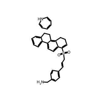 C1=CC=CNC=C1.NCc1ccc(C=CCS(=O)(=O)C2=CCCc3c2ccc2c3CCc3ccccc3-2)cc1